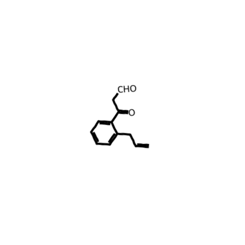 C=CCc1ccccc1C(=O)CC=O